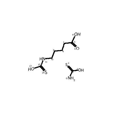 NC(O)=S.O=C(O)CCCCNC(O)=S